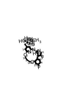 CS(=O)(=O)N=[SH](C)(O)Cc1cc2nc(c1)OCCCOc1cc(F)ccc1-c1cc(ncc1F)N2